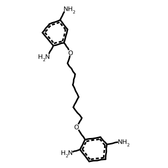 Nc1ccc(N)c(OCCCCCCOc2cc(N)ccc2N)c1